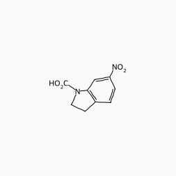 O=C(O)N1CCc2ccc([N+](=O)[O-])cc21